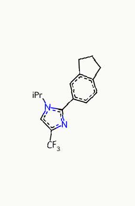 CC(C)n1cc(C(F)(F)F)nc1-c1ccc2c(c1)CCC2